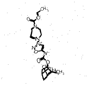 CCOC(=O)N1CCN([n+]2cc([N-]C(=O)OC3CC4CC(C3C)C4(C)C)on2)CC1